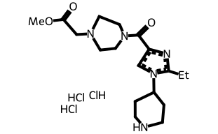 CCc1nc(C(=O)N2CCN(CC(=O)OC)CC2)cn1C1CCNCC1.Cl.Cl.Cl